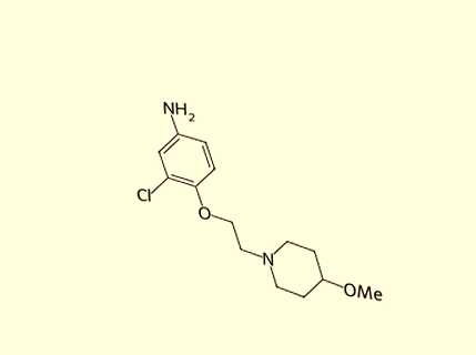 COC1CCN(CCOc2ccc(N)cc2Cl)CC1